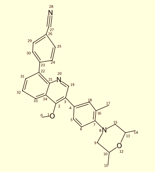 COc1c(-c2ccc(N3CC(C)OC(C)C3)c(C)c2)cnc2c(-c3ccc(C#N)cc3)cccc12